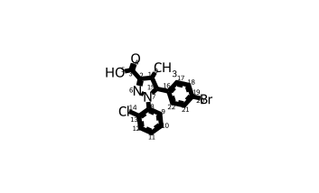 CC1C(C(=O)O)=NN(c2ccccc2Cl)C1c1ccc(Br)cc1